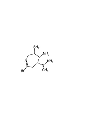 BC1CN=C(Br)CC(N(C)N)C1N